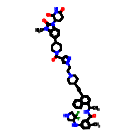 Cc1ccc(N[C@H]2CNCC2(F)F)cc1C(=O)N[C@H](C)c1ccc(C#CC2CCN(CCn3cc(C(=O)N4CCC(c5ccc6c(c5)n(C)c(=O)n6C5CCC(=O)NC5=O)CC4)cn3)CC2)c2ccccc12